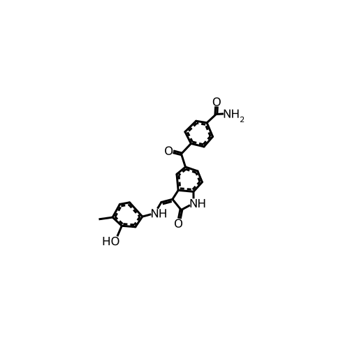 Cc1ccc(NC=C2C(=O)Nc3ccc(C(=O)c4ccc(C(N)=O)cc4)cc32)cc1O